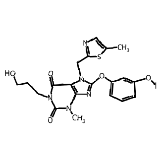 Cc1cnc(Cn2c(Oc3cccc(OI)c3)nc3c2c(=O)n(CCCO)c(=O)n3C)s1